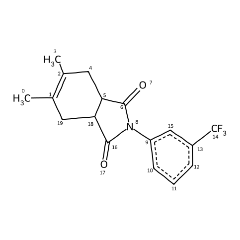 CC1=C(C)CC2C(=O)N(c3cccc(C(F)(F)F)c3)C(=O)C2C1